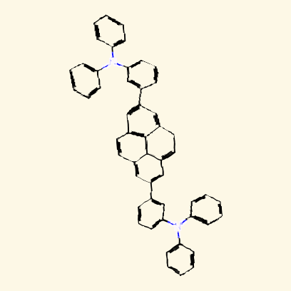 C1=Cc2cc(-c3cccc(N(c4ccccc4)c4ccccc4)c3)cc3c2C2C(=CC3)C=C(c3cccc(N(c4ccccc4)c4ccccc4)c3)C=C12